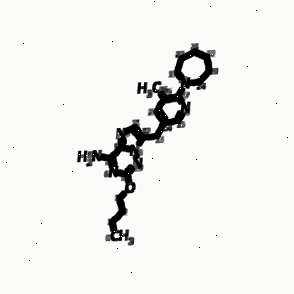 CCCCOc1nc(N)c2ncc(Cc3cnc(N4CCCCCC4)c(C)c3)n2n1